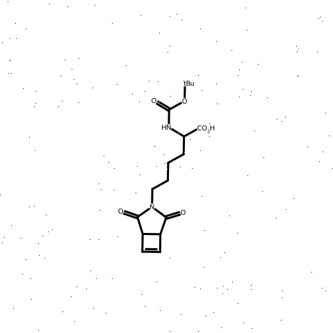 CC(C)(C)OC(=O)NC(CCCCN1C(=O)C2C=CC2C1=O)C(=O)O